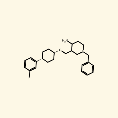 NC1CCN(Cc2ccccc2)CC1CO[C@H]1CC[C@@H](c2cccc(F)c2)CC1